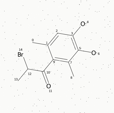 Cc1cc([O])c([O])c(C)c1C(=O)C(C)Br